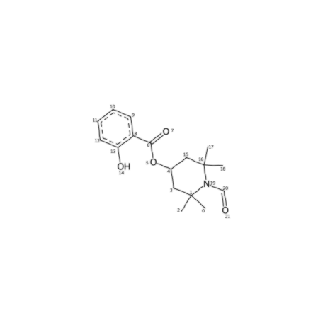 CC1(C)CC(OC(=O)c2ccccc2O)CC(C)(C)N1C=O